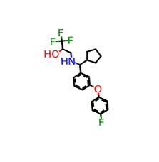 OC(CNC(c1cccc(Oc2ccc(F)cc2)c1)C1CCCC1)C(F)(F)F